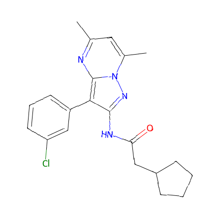 Cc1cc(C)n2nc(NC(=O)CC3CCCC3)c(-c3cccc(Cl)c3)c2n1